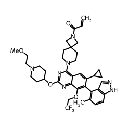 C=CC(=O)N1CC2(CCN(c3nc(OC4CCN(CCOC)CC4)nc4c(OCC(F)(F)F)c(-c5c(C)ccc6[nH]ncc56)c(C5CC5)cc34)CC2)C1